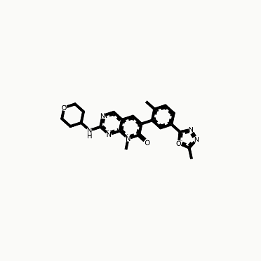 Cc1nnc(-c2ccc(C)c(-c3cc4cnc(NC5CCOCC5)nc4n(C)c3=O)c2)o1